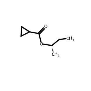 C[CH][C@H](C)OC(=O)C1CC1